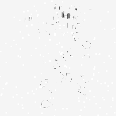 CC(=O)N[C@@H](CC(=O)O)C(=O)N[C@@H](CCC(=O)O)C(=O)N[C@H](C(=O)N[C@@H](CC(=O)O)C(=O)Nc1ccc2c(c1)CC1=CC(NC(=O)[C@H](CC(=O)O)NC(=O)[C@H](CCCCN(Cc3ccccn3)Cc3ccccn3)NC(=O)OCC3c4ccccc4-c4ccccc43)=CC3OC(=O)c4ccccc4C2C13)C(C)C